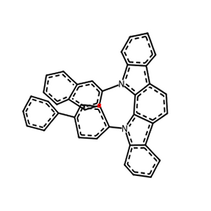 c1ccc(-c2ccc(-n3c4ccccc4c4ccc5c6ccccc6n(-c6ccc7ccccc7c6)c5c43)cc2)cc1